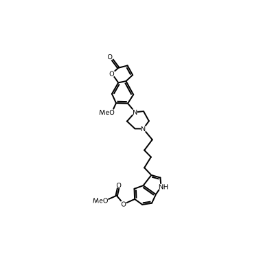 COC(=O)Oc1ccc2[nH]cc(CCCCN3CCN(c4cc5ccc(=O)oc5cc4OC)CC3)c2c1